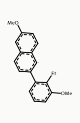 CCc1c(OC)cccc1-c1[c]c2ccc(OC)cc2cc1